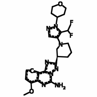 COc1cccc2c1nc(N)n1nc([C@@H]3CCCN(c4cnn(C5CCOCC5)c4C(F)F)C3)nc21